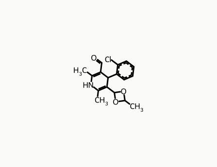 CC1=C(C=O)C(c2ccccc2Cl)C(C2OC(C)O2)=C(C)N1